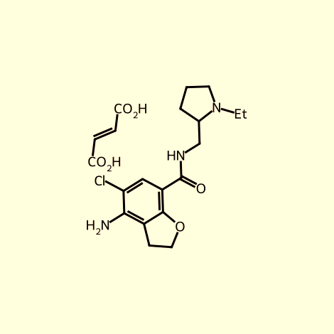 CCN1CCCC1CNC(=O)c1cc(Cl)c(N)c2c1OCC2.O=C(O)C=CC(=O)O